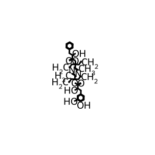 C=CCC(CC=C)(OC(=O)C(O)Cc1ccccc1)c1nc(C)c(C(CC=C)(CC=C)OC(=O)C(O)Cc2ccc(O)c(O)c2)nc1C